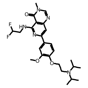 COc1cc(-c2cc3ncn(C)c(=O)c3c(NCC(F)F)n2)ccc1OCCN(C(C)C)C(C)C